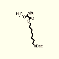 CCCCCCCCCCCCCCCCCCOC(=O)C(CCCC)OP